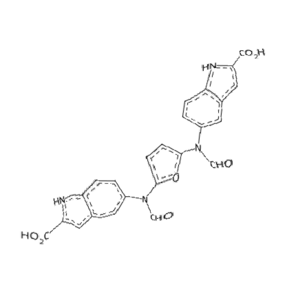 O=CN(c1ccc2[nH]c(C(=O)O)cc2c1)c1ccc(N(C=O)c2ccc3[nH]c(C(=O)O)cc3c2)o1